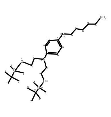 CC(C)(C)[Si](C)(C)OCCN(CCO[Si](C)(C)C(C)(C)C)c1ccc(NCCCCCN)cc1